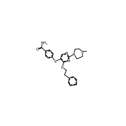 CN1CCN(c2ncc(Sc3ccc(C(N)=O)cc3)c(OCCc3ccccc3)n2)CC1